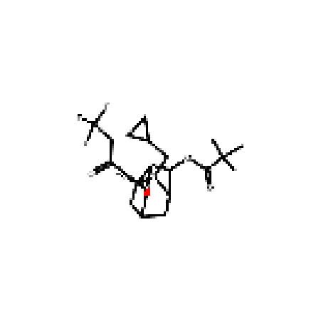 CC(C)(C)C(=O)OC1C2[C@@H]3CC(CC1N3CC1CC1)CN2C(=O)CC(F)(F)F